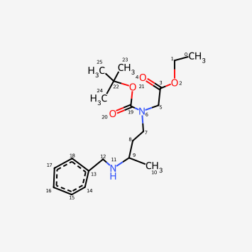 CCOC(=O)CN(CCC(C)NCc1ccccc1)C(=O)OC(C)(C)C